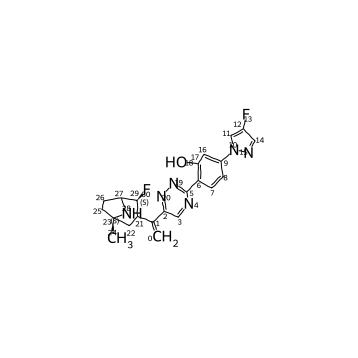 C=C(c1cnc(-c2ccc(-n3cc(F)cn3)cc2O)nn1)C1C[C@]2(C)CCC(N2)[C@H]1F